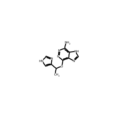 CC(Oc1nnc(N)c2[nH]cnc12)c1c[nH]cn1